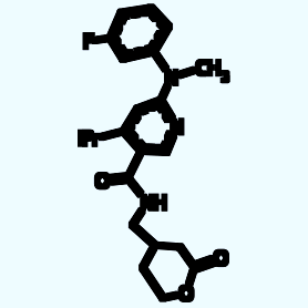 CC(C)c1cc(N(C)c2cccc(F)c2)ncc1C(=O)NCC1CCOC(=O)C1